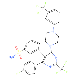 NS(=O)(=O)c1cccc(-c2c(-c3ccc(F)cc3)nc(C(F)(F)F)nc2N2CCN(c3cccc(C(F)(F)F)c3)CC2)c1